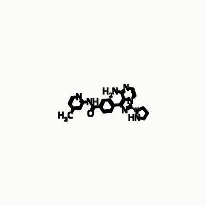 Cc1ccnc(NC(=O)c2ccc(-c3nc([C@@H]4CCCN4)n4ccnc(N)c34)cc2)c1